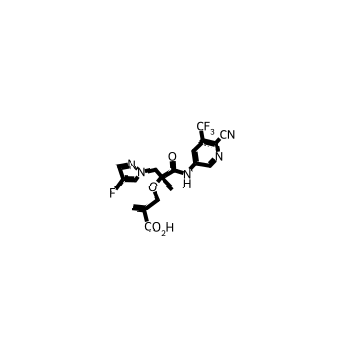 C=C(COC(C)(Cn1cc(F)cn1)C(=O)Nc1cnc(C#N)c(C(F)(F)F)c1)C(=O)O